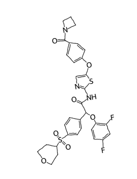 O=C(Nc1ncc(Oc2ccc(C(=O)N3CCC3)cc2)s1)C(Oc1ccc(F)cc1F)c1ccc(S(=O)(=O)C2CCOCC2)cc1